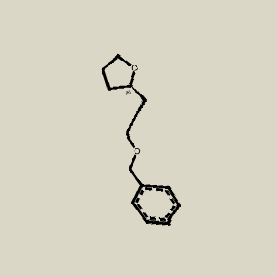 c1ccc(COCC[C@H]2CCCO2)cc1